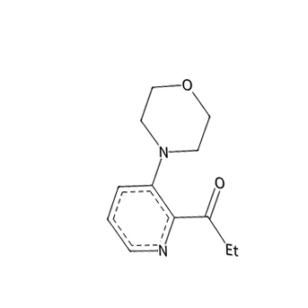 CCC(=O)c1ncccc1N1CCOCC1